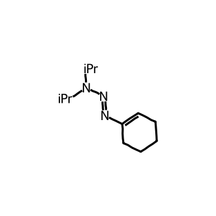 CC(C)N(N=NC1=CCCCC1)C(C)C